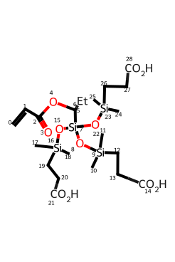 C=CC(=O)OC(CC)[Si](O[Si](C)(C)CCC(=O)O)(O[Si](C)(C)CCC(=O)O)O[Si](C)(C)CCC(=O)O